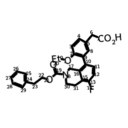 CCOc1ccc(CC(=O)O)cc1-c1ccc(F)c2c1CN(C(=O)OCCc1ccccc1)CC2